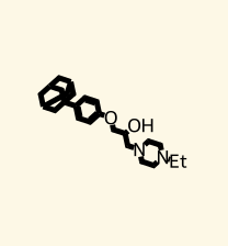 CCN1CCN(CC(O)COc2ccc(C34CC5CC(CC(C5)C3)C4)cc2)CC1